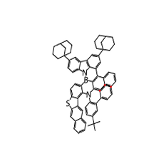 CC(C)(C)c1ccc(N2c3cc4ccccc4c4c3B(c3ccc5sc6cc7ccccc7cc6c5c32)n2c3ccc(C56CCCC(CCC5)C6)cc3c3cc(C56CCCC(CCC5)C6)cc-4c32)c(-c2ccccc2)c1